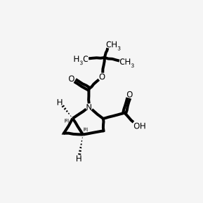 CC(C)(C)OC(=O)N1C(C(=O)O)C[C@H]2C[C@H]21